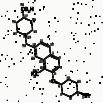 CC(C)[C@H]1CC[C@@H](Oc2ccc3ccc(CN4CCC(C(=O)O)CC4)cc3c2C(F)(F)F)CC1